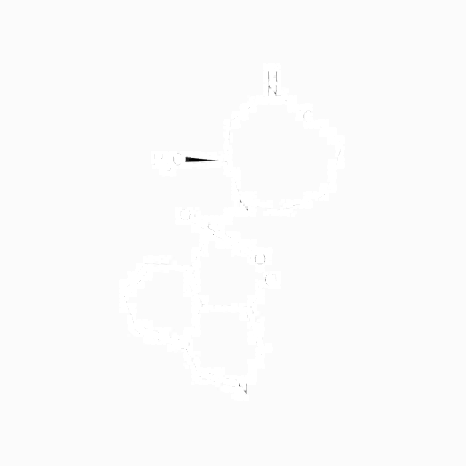 C[C@H]1CNCCCCN1S(=O)(=O)c1cccc2cncc(Cl)c12